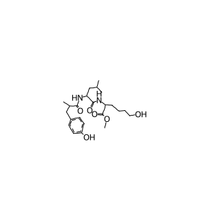 COC(=O)C(CCCCO)NC(=O)C(CC(C)C)NC(=O)C(C)Cc1ccc(O)cc1